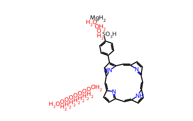 O.O.O.O.O.O.O.O.O.O.O.O.O=S(=O)(O)c1ccc(-c2cc3cc4nc(cc5ccc(cc6nc(cc2[nH]3)C=C6)[nH]5)C=C4)cc1.[MgH2]